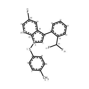 Cc1ccc(Sn2cc(-c3ccccc3C(F)F)c3cc(F)cnc32)cc1